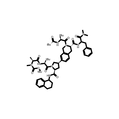 CC[C@@H](C)C(=O)N[C@H](C(=O)N1Cc2cc([C@H]3C[C@@H](C(=O)NC4CCCc5ccccc54)N(C(=O)[C@@H](NC(=O)[C@H](C)N(C)C(=O)OC(C)(C)C)C(C)(C)C)C3)ccc2C[C@H]1C(=O)NC(Cc1ccccc1)C(=O)N(C)C)C(C)(C)C